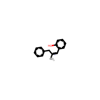 O=[N+]([O-])/C(=C/c1ccccc1O)Cc1ccccc1